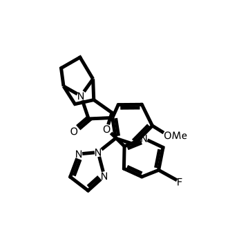 COc1ccc(C(=O)N2C3CCC2C(COc2ccc(F)cn2)C3)c(-n2nccn2)c1